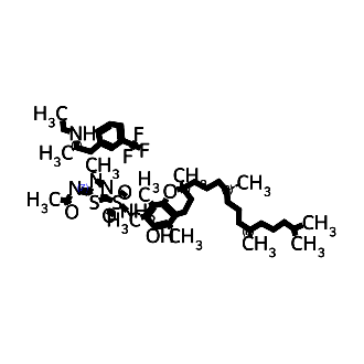 CC(=O)/N=c1\sc(S(N)(=O)=O)nn1C.CCN[C@@H](C)Cc1cccc(C(F)(F)F)c1.Cc1c(C)c2c(c(C)c1O)CC[C@@](C)(CCC[C@H](C)CCC[C@H](C)CCCC(C)C)O2